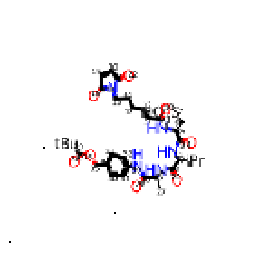 CC(C)[C@H](NC(=O)[C@H](CS(=O)(=O)O)NC(=O)CCCCCN1C(=O)C=CC1=O)C(=O)N[C@@H](C)C(=O)Nc1ccc(COC(=O)C(C)(C)C)cc1